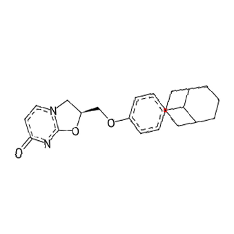 O=c1ccn2c(n1)O[C@H](COc1ccc(C3C4CCCC3CCC4)cc1)C2